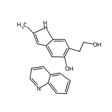 Cc1cc2cc(O)c(CCO)cc2[nH]1.c1ccc2ncccc2c1